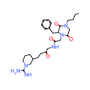 CCCCN1CC(=O)N(CC(=O)NCC(=O)CCC2CCCN(C(=N)N)C2)C(Cc2ccccc2)C1=O